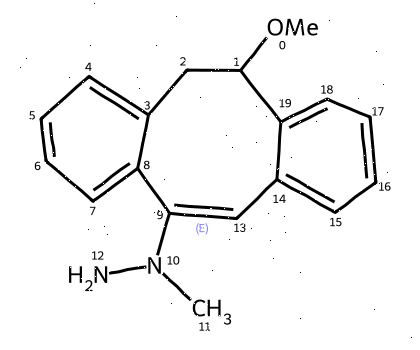 COC1Cc2ccccc2/C(N(C)N)=C\c2ccccc21